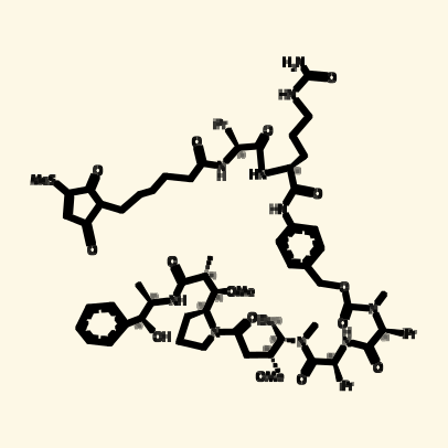 CC[C@H](C)[C@@H]([C@@H](CC(=O)N1CCC[C@H]1[C@H](OC)[C@@H](C)C(=O)N[C@H](C)[C@@H](O)c1ccccc1)OC)N(C)C(=O)[C@@H](NC(=O)[C@H](C(C)C)N(C)C(=O)OCc1ccc(NC(=O)[C@H](CCCNC(N)=O)NC(=O)[C@@H](NC(=O)CCCCCC2C(=O)C=C(SC)C2=O)C(C)C)cc1)C(C)C